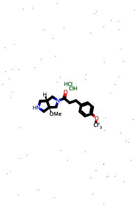 CO[C@]12CNC[C@@H]1CN(C(=O)CCc1ccc(OC(F)(F)F)cc1)C2.Cl.Cl